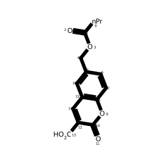 CCCC(=O)OCc1ccc2oc(=O)c(C(=O)O)cc2c1